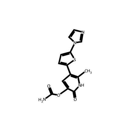 Cc1[nH]c(=O)c(OC(N)=O)cc1-c1ccc(-n2ccnc2)s1